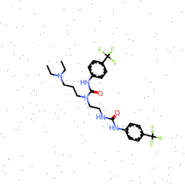 CCN(CC)CCCN(CCNC(=O)Nc1ccc(C(F)(F)F)cc1)C(=O)Nc1ccc(C(F)(F)F)cc1